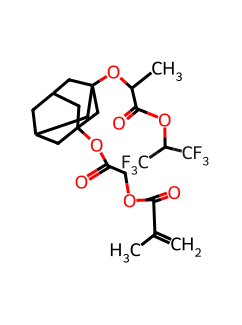 C=C(C)C(=O)OCC(=O)OC12CC3CC(C1)CC(OC(C)C(=O)OC(C(F)(F)F)C(F)(F)F)(C3)C2